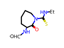 CCNC(=S)N1CCCC[C@H](N[C]=O)C1=O